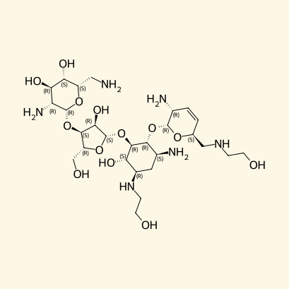 NC[C@@H]1O[C@H](O[C@H]2[C@@H](O)[C@H](O[C@@H]3[C@@H](O)[C@H](NCCO)C[C@H](N)[C@H]3O[C@H]3O[C@H](CNCCO)C=C[C@H]3N)O[C@@H]2CO)[C@H](N)[C@@H](O)[C@@H]1O